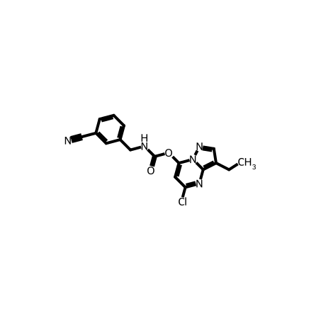 CCc1cnn2c(OC(=O)NCc3cccc(C#N)c3)cc(Cl)nc12